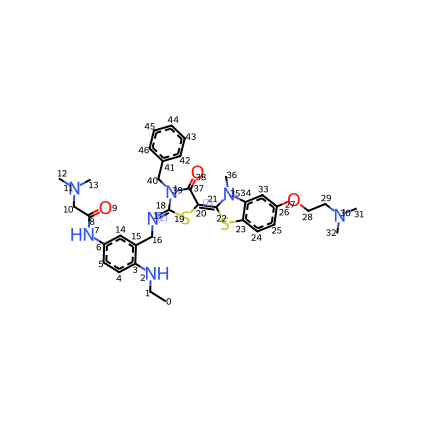 CCNc1ccc(NC(=O)CN(C)C)cc1C/N=C1\S/C(=C2\Sc3ccc(OCCN(C)C)cc3N2C)C(=O)N1Cc1ccccc1